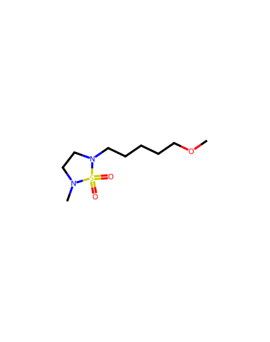 COCCCCCN1CCN(C)S1(=O)=O